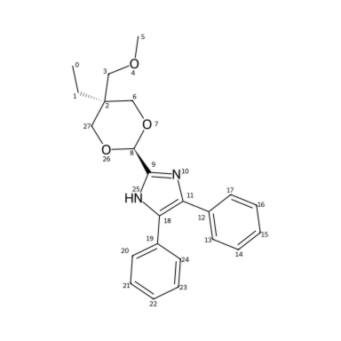 CC[C@]1(COC)CO[C@@H](c2nc(-c3ccccc3)c(-c3ccccc3)[nH]2)OC1